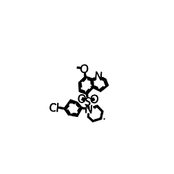 COc1ccc(S(=O)(=O)[N+]2(c3ccc(Cl)cc3)CC[CH]CC2)c2cccnc12